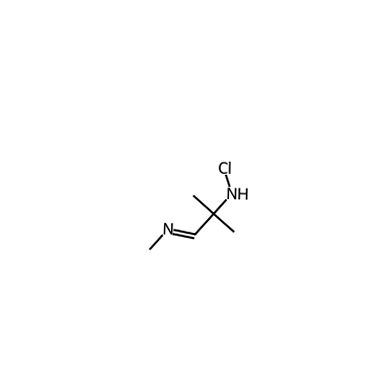 C/N=C/C(C)(C)NCl